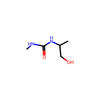 CNC(=O)NC(C)CO